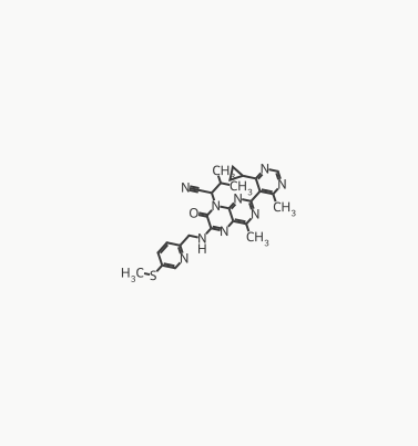 CSc1ccc(CNc2nc3c(C)nc(-c4c(C)ncnc4C4CC4)nc3n(C(C#N)C(C)C)c2=O)nc1